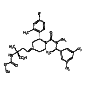 Cc1cc(F)ccc1[C@H]1CC(=CC[C@@](C)(NC(=O)OC(C)(C)C)C(=O)O)CCN1C(=O)N(C)[C@H](C)c1cc(C(F)(F)F)cc(C(F)(F)F)c1